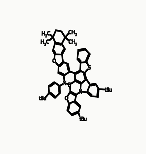 CC(C)(C)c1ccc(N2B3c4oc5ccc(C(C)(C)C)cc5c4-n4c5ccc(C(C)(C)C)cc5c5c6sc7ccccc7c6c(c3c54)-c3cc4c(cc32)oc2cc3c(cc24)C(C)(C)CCC3(C)C)cc1